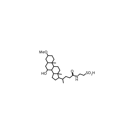 COC1CCC2(C)C(C1)CC(O)C1C2CCC2(C)C(C(C)CCC(=O)NCCS(=O)(=O)O)CCC12